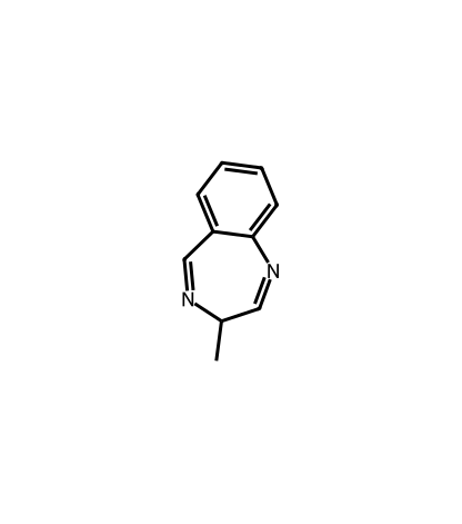 CC1C=Nc2ccccc2C=N1